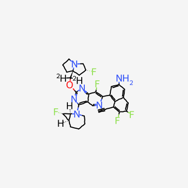 [2H]C([2H])(Oc1nc(N2CCCC[C@H]3[C@H](F)[C@H]32)c2cnc(-c3cc(N)cc4cc(F)c(F)c(C#C)c34)c(F)c2n1)[C@@]12CCCN1C[C@H](F)C2